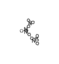 C1=CCCC(c2nc(-c3ccc(-c4ccc5nc(-c6ccccc6)c6sc7ccccc7c6c5c4)cc3)cc(-c3ccc(-n4c5ccccc5c5ccccc54)cc3)n2)=C1